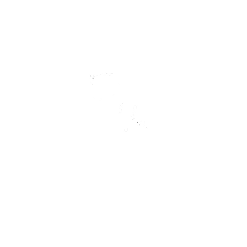 NS(=O)(=O)c1ccc2/c(c1)=C\C=C/N=C\C=2